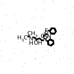 CC(C)NC[C@@H](O)CCN1c2ccccc2N(c2ccccc2F)S1(=O)=O